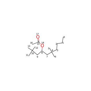 CCCCC(C)(C)CC(CC(C)(C)C)OC(C)=O